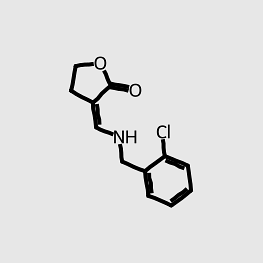 O=C1OCCC1=CNCc1ccccc1Cl